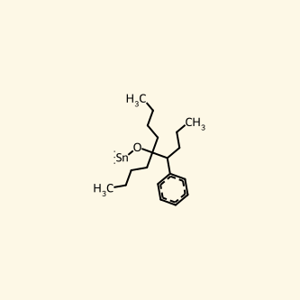 CCCCC(CCCC)([O][Sn])C(CCC)c1ccccc1